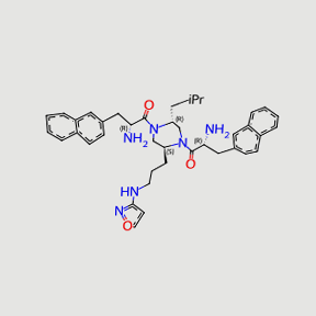 CC(C)C[C@@H]1CN(C(=O)[C@H](N)Cc2ccc3ccccc3c2)[C@@H](CCCNc2ccon2)CN1C(=O)[C@H](N)Cc1ccc2ccccc2c1